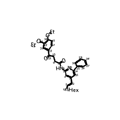 CCCCCCC=Cc1cc(NC(=O)CCC(=O)c2ccc(OCC)c(OCC)c2)nc(-c2ccccc2)c1